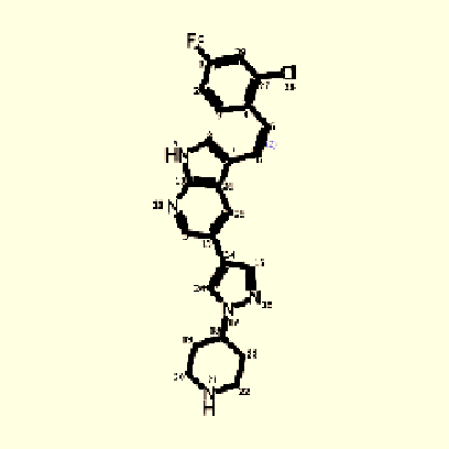 Fc1ccc(/C=C\c2c[nH]c3ncc(-c4cnn(C5CCNCC5)c4)cc23)c(Cl)c1